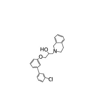 OC(COc1cccc(-c2cccc(Cl)c2)c1)CN1CCc2ccccc2C1